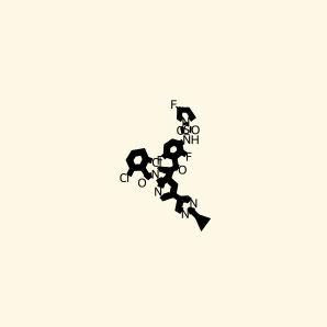 O=C(c1c(F)ccc(NS(=O)(=O)N2CC[C@@H](F)C2)c1F)c1cn(C(=O)c2c(Cl)cccc2Cl)c2ncc(-c3cnc(C4CC4)nc3)cc12